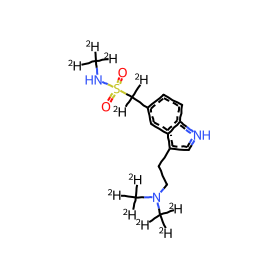 [2H]C([2H])([2H])NS(=O)(=O)C([2H])([2H])c1ccc2[nH]cc(CCN(C([2H])([2H])[2H])C([2H])([2H])[2H])c2c1